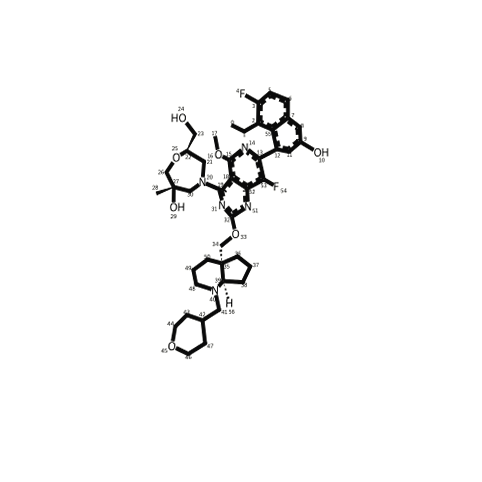 CCc1c(F)ccc2cc(O)cc(-c3nc(OC)c4c(N5C[C@H](CO)OC[C@@](C)(O)C5)nc(OC[C@]56CCC[C@H]5N(CC5CCOCC5)CCC6)nc4c3F)c12